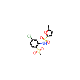 Cc1ccc(S(=O)(=O)Nc2cc(Cl)ccc2S(C)(=O)=O)o1